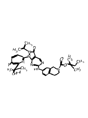 CC(C)n1c(=O)c2cnc(Nc3ccc4c(c3)CN(C(=O)OC(C)(C)C)CC4)nc2n1-c1ccc(F)c(C(C)(C)O)n1